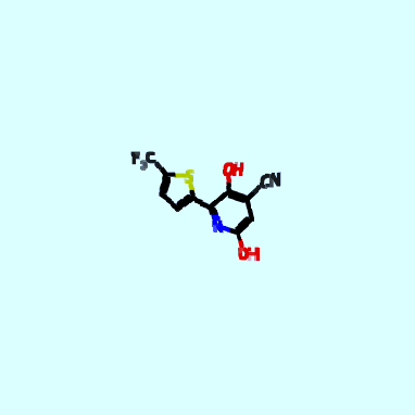 N#Cc1cc(O)nc(-c2ccc(C(F)(F)F)s2)c1O